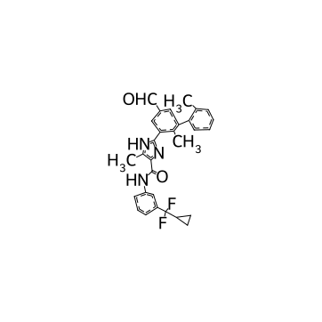 Cc1ccccc1-c1cc(C=O)cc(-c2nc(C(=O)Nc3cccc(C(F)(F)C4CC4)c3)c(C)[nH]2)c1C